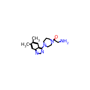 Cc1cc2ncnc(N3CCCN(C(=O)CN)CC3)c2cc1C